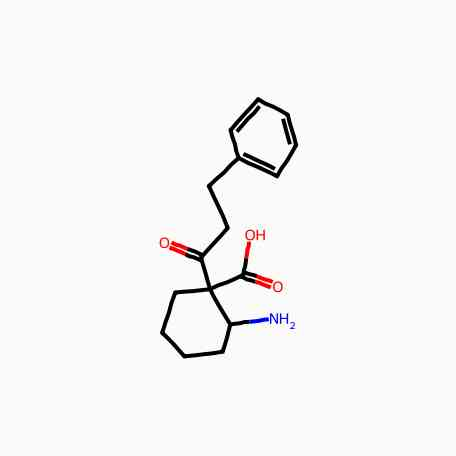 NC1CCCCC1(C(=O)O)C(=O)CCc1ccccc1